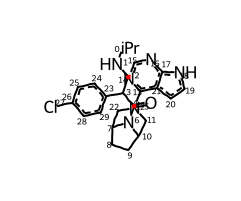 CC(C)NCC(C(=O)N1C2CCC1CN(c1ncnc3[nH]ccc13)C2)c1ccc(Cl)cc1